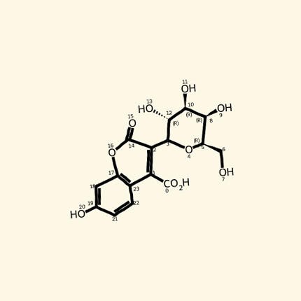 O=C(O)c1c(C2O[C@H](CO)[C@H](O)[C@H](O)[C@H]2O)c(=O)oc2cc(O)ccc12